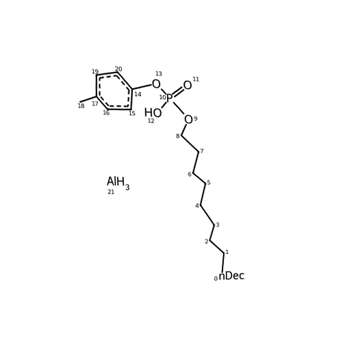 CCCCCCCCCCCCCCCCCCOP(=O)(O)Oc1ccc(C)cc1.[AlH3]